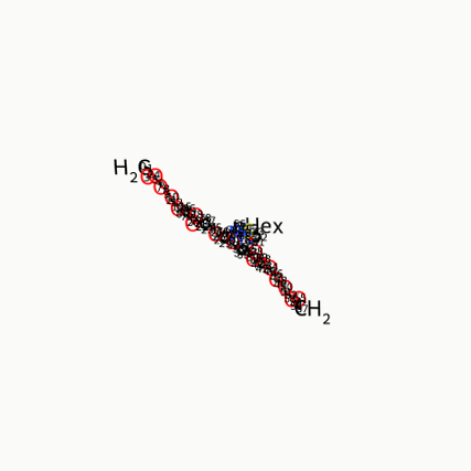 C=CC(=O)OCCOCCOCCOc1ccc(OC(=O)C2CCC(COc3ccc(OCC4CCC(C(=O)Oc5ccc(OCCOCCOCCOC(=O)C=C)cc5)CC4)c(/C=N/N(CCCCCC)c4nc5ccccc5s4)c3)CC2)cc1